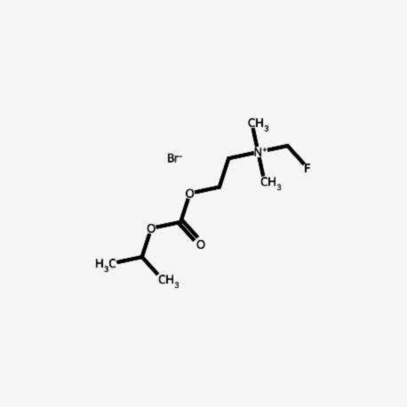 CC(C)OC(=O)OCC[N+](C)(C)CF.[Br-]